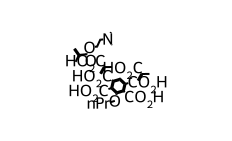 C=C(C)C(=O)O.C=C(C)C(=O)O.C=C(C)C(=O)OCCN(C)C.CCCOc1c(C(=O)O)c(C(=O)O)cc(C(=O)O)c1C(=O)O